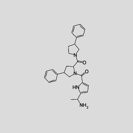 CC(N)c1ccc(C(=O)N2CC(c3ccccc3)CC2C(=O)N2CCC(c3ccccc3)C2)[nH]1